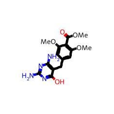 COC(=O)c1c(OC)cc(Cc2c(N)nc(N)nc2O)cc1OC